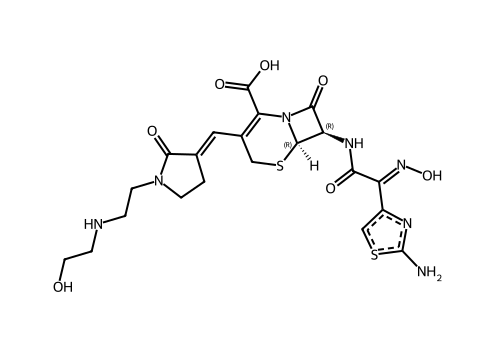 Nc1nc(C(=NO)C(=O)N[C@@H]2C(=O)N3C(C(=O)O)=C(C=C4CCN(CCNCCO)C4=O)CS[C@H]23)cs1